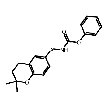 CC1(C)CCc2cc(SNC(=O)Oc3ccccc3)ccc2O1